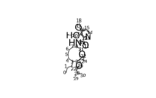 CCC[C@H]1CCCC[C@H](NC(=O)c2nccc(OC)c2O)CO[C@@H](C)[C@@H]1OCC(C)C